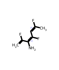 C=C(F)/C(N)=C(F)\C=C(/C)F